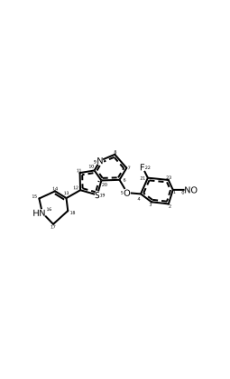 O=Nc1ccc(Oc2ccnc3cc(C4=CCNCC4)sc23)c(F)c1